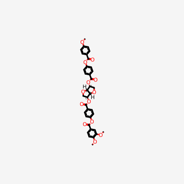 COc1ccc(C(=O)Oc2ccc(C(=O)O[C@@H]3CO[C@H]4[C@@H]3OC[C@@H]4OC(=O)c3ccc(OC(=O)c4ccc(OC)c(OC)c4)cc3)cc2)cc1